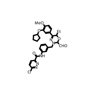 CCC1OC(C=O)N(Cc2cccc(NC(=O)c3ccc(Cl)nn3)c2)N=C1c1ccc(OC)c(OC2CCCC2)c1